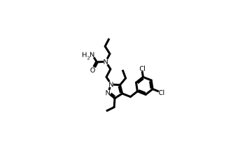 CCCN(CCn1nc(CC)c(Cc2cc(Cl)cc(Cl)c2)c1CC)C(N)=O